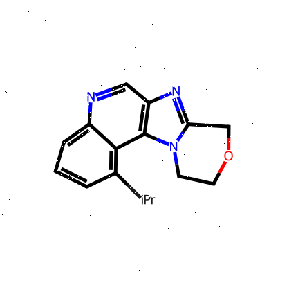 CC(C)c1cccc2ncc3nc4n(c3c12)CCOC4